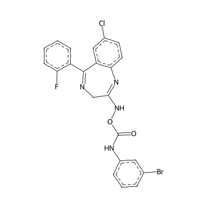 O=C(Nc1cccc(Br)c1)ONC1=Nc2ccc(Cl)cc2C(c2ccccc2F)=NC1